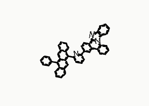 c1ccc(-c2c3ccccc3cc3c(-c4cccc(-c5ccc6c(c5)c5ccccc5n5c7ccccc7nc65)n4)c4ccccc4cc23)cc1